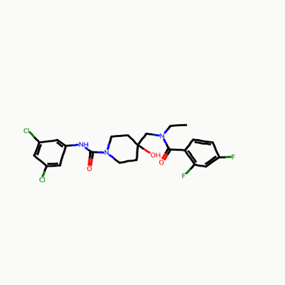 CCN(CC1(O)CCN(C(=O)Nc2cc(Cl)cc(Cl)c2)CC1)C(=O)c1ccc(F)cc1F